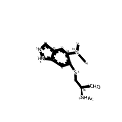 CC(=O)N[C@H](C=O)CSc1cc2[nH]ncc2cc1N(C)C